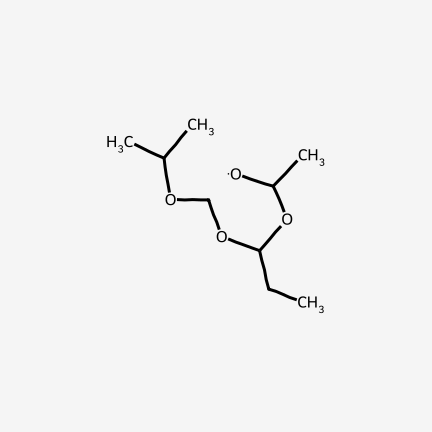 CCC(OCOC(C)C)OC(C)[O]